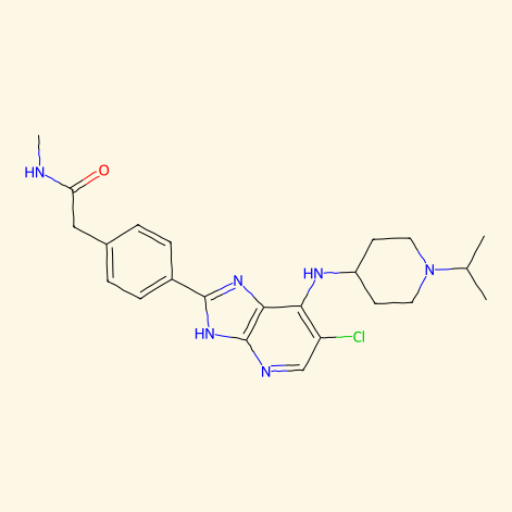 CNC(=O)Cc1ccc(-c2nc3c(NC4CCN(C(C)C)CC4)c(Cl)cnc3[nH]2)cc1